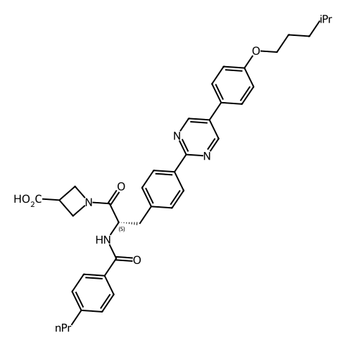 CCCc1ccc(C(=O)N[C@@H](Cc2ccc(-c3ncc(-c4ccc(OCCCC(C)C)cc4)cn3)cc2)C(=O)N2CC(C(=O)O)C2)cc1